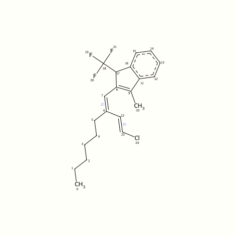 CCCCCCC(=C/C1=C(C)c2ccccc2C1C(F)(F)F)/C=C/Cl